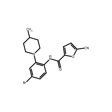 CC1CCN(c2cc(Br)ccc2NC(=O)c2ccc(C#N)o2)CC1